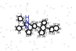 c1ccc(C2=C(c3ccccc3)N3c4ccccc4-c4cc(-c5c6ccccc6c(-c6ccc7ccccc7c6)c6ccccc56)ccc4C3N2)cc1